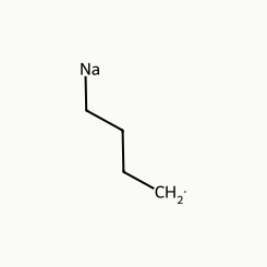 [CH2]CC[CH2][Na]